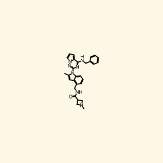 Cc1cc2c(CNC(=O)C3CN(C)C3)cccc2n1-c1nc(NCc2ccccc2)c2cccn2n1